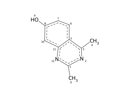 Cc1nc(C)c2ccc(O)cc2n1